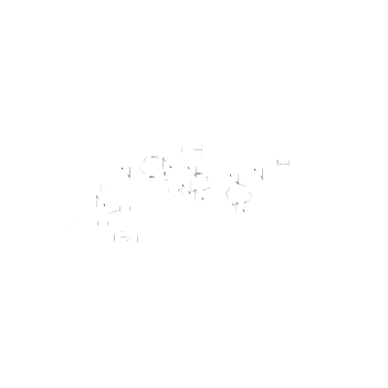 CC(n1cc(-c2cncc(N3CC[C@@H](C)C3)n2)nn1)n1ccc(N2CCC[C@@H](N(CC3CC3)C(=O)OC(C)(C)C)C2)cc1=O